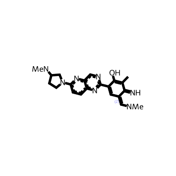 CN/C=C1/C=C(c2ncc3nc(N4CCC(NC)C4)ccc3n2)C(O)=C(C)C1=N